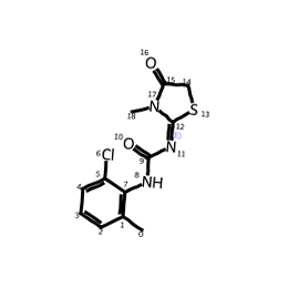 Cc1cccc(Cl)c1NC(=O)/N=C1/SCC(=O)N1C